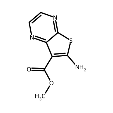 COC(=O)c1c(N)sc2nccnc12